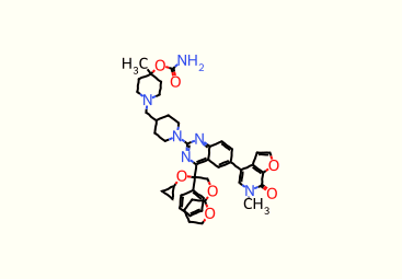 Cn1cc(-c2ccc3nc(N4CCC(CN5CCC(C)(OC(N)=O)CC5)CC4)nc(C(COC4CCCCO4)(OC4CC4)c4ccccc4)c3c2)c2ccoc2c1=O